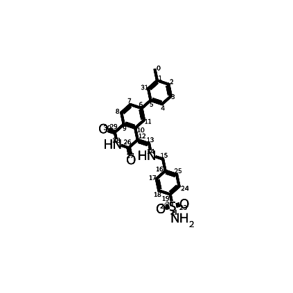 Cc1cccc(-c2ccc3c(c2)C(=CNCc2ccc(S(N)(=O)=O)cc2)C(=O)NC3=O)c1